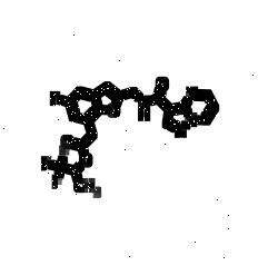 CC(OC(=O)Cc1cc(F)cc2cc(CNC(=O)c3cnn4cccnc34)oc12)C(F)(F)F